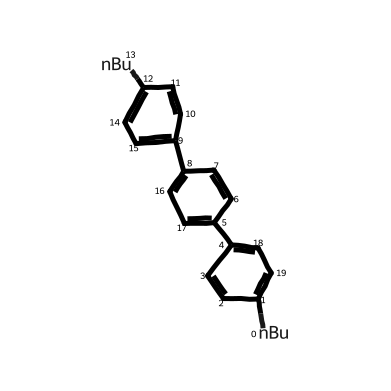 CCCCc1ccc(-c2ccc(-c3ccc(CCCC)cc3)cc2)cc1